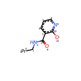 CC(C)CNC(=O)c1cccnc1[O]